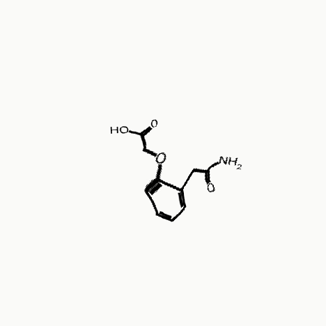 NC(=O)Cc1ccccc1OCC(=O)O